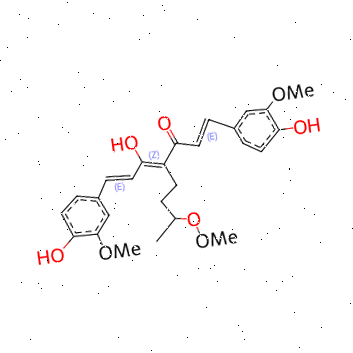 COOC(C)CC/C(C(=O)/C=C/c1ccc(O)c(OC)c1)=C(O)\C=C\c1ccc(O)c(OC)c1